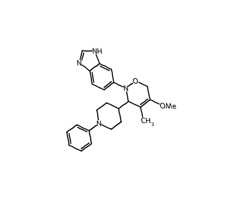 COC1=C(C)C(C2CCN(c3ccccc3)CC2)N(c2ccc3nc[nH]c3c2)OC1